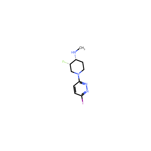 CN[C@@H]1CCN(c2ccc(I)nn2)C[C@@H]1F